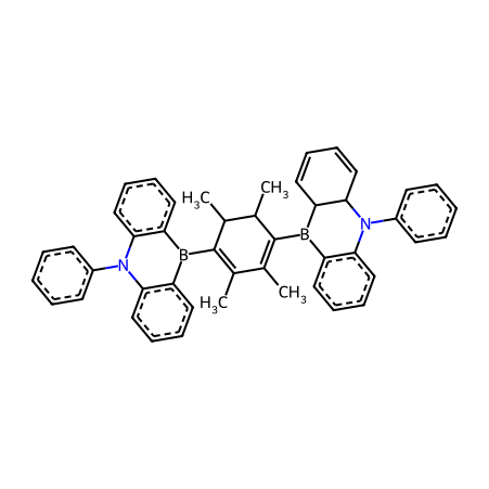 CC1=C(B2c3ccccc3N(c3ccccc3)c3ccccc32)C(C)C(C)C(B2c3ccccc3N(c3ccccc3)C3C=CC=CC23)=C1C